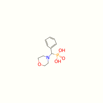 O=P(O)(O)C(c1ccccc1)N1CCOCC1